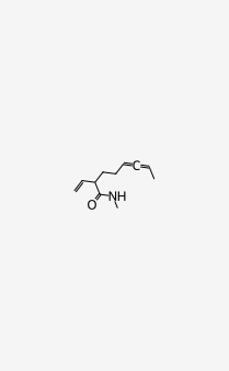 C=CC(CCC=C=CC)C(=O)NC